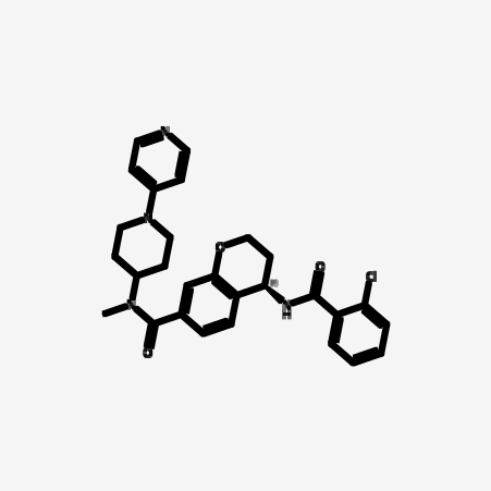 CN(C(=O)c1ccc2c(c1)OCC[C@H]2NC(=O)c1ccccc1Cl)C1CCN(c2ccncc2)CC1